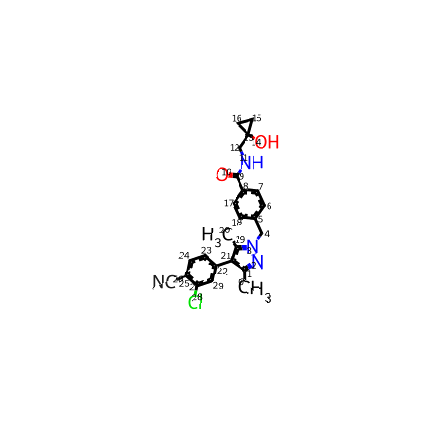 Cc1nn(Cc2ccc(C(=O)NCC3(O)CC3)cc2)c(C)c1-c1ccc(C#N)c(Cl)c1